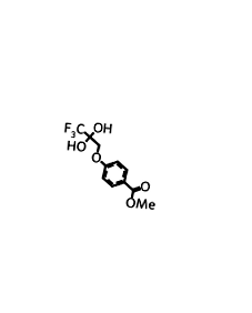 COC(=O)c1ccc(OCC(O)(O)C(F)(F)F)cc1